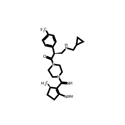 CNC1=C(C(=N)N2CCN(C(=O)[C@H](CNCC3CC3)c3ccc(C(F)(F)F)cc3)CC2)[C@H](C)CC1